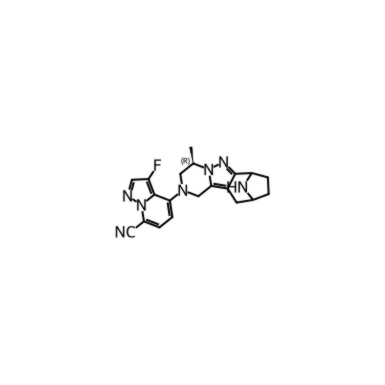 C[C@@H]1CN(c2ccc(C#N)n3ncc(F)c23)Cc2c3c(nn21)C1CCC(C3)N1